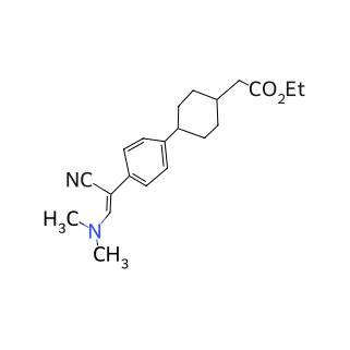 CCOC(=O)CC1CCC(c2ccc(C(C#N)=CN(C)C)cc2)CC1